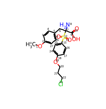 COc1ccc(CC(N)(C(=O)O)S(=O)(=O)c2ccc(OCCCCl)cc2)cc1